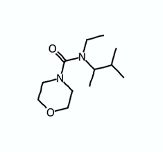 CCN(C(=O)N1CCOCC1)C(C)C(C)C